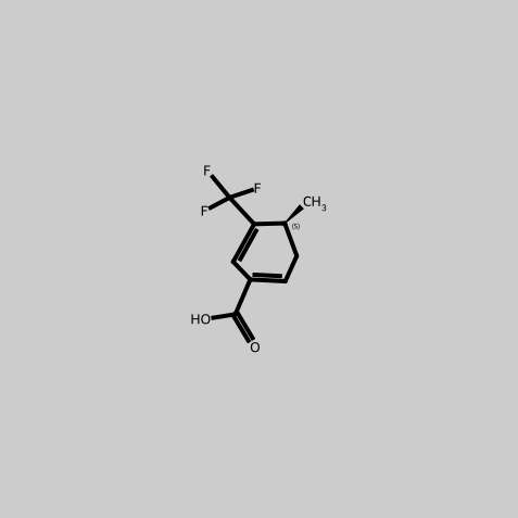 C[C@H]1CC=C(C(=O)O)C=C1C(F)(F)F